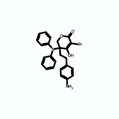 CC(C)C1=C(O)C(CCc2ccc(N)cc2)(N(c2ccccc2)c2ccccc2)COC1=O